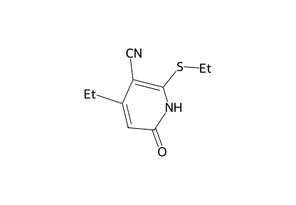 CCSc1[nH]c(=O)cc(CC)c1C#N